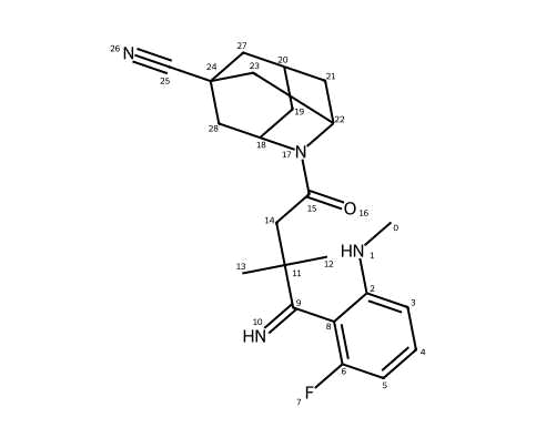 CNc1cccc(F)c1C(=N)C(C)(C)CC(=O)N1C2CC3CC1CC(C#N)(C3)C2